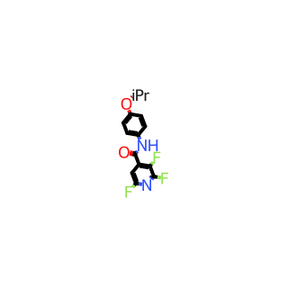 CC(C)Oc1ccc(NC(=O)c2cc(F)nc(F)c2F)cc1